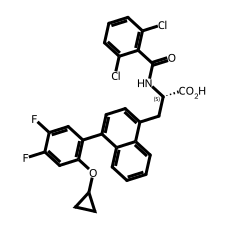 O=C(N[C@@H](Cc1ccc(-c2cc(F)c(F)cc2OC2CC2)c2ccccc12)C(=O)O)c1c(Cl)cccc1Cl